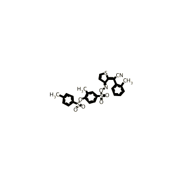 Cc1ccc(S(=O)(=O)Oc2ccc(S(=O)(=O)ON=C3C=CSC3=C(C#N)c3ccccc3C)cc2C)cc1